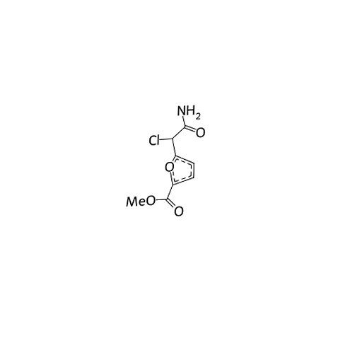 COC(=O)c1ccc(C(Cl)C(N)=O)o1